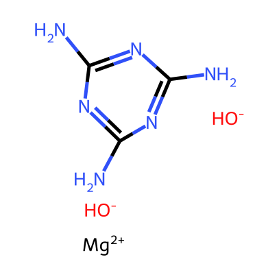 Nc1nc(N)nc(N)n1.[Mg+2].[OH-].[OH-]